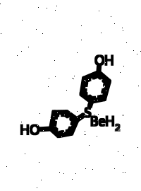 Oc1ccc(Sc2ccc(O)cc2)cc1.[BeH2]